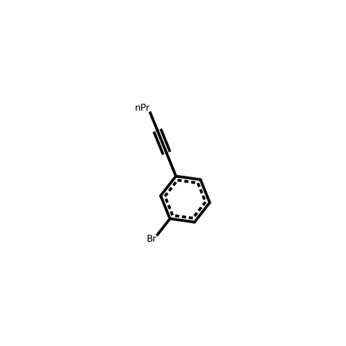 CCCC#Cc1cccc(Br)c1